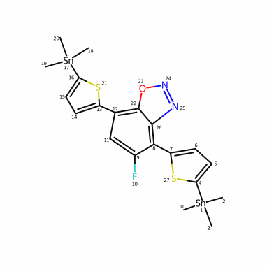 [CH3][Sn]([CH3])([CH3])[c]1ccc(-c2c(F)cc(-c3cc[c]([Sn]([CH3])([CH3])[CH3])s3)c3onnc23)s1